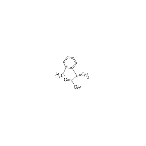 [CH2]c1ccccc1C(=C)C(=O)O